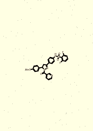 COc1ccc(C2CC(c3ccc(NS(=O)(=O)c4c(F)cccc4F)cc3)=NN2C(=O)c2cccnc2)cc1